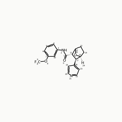 O=C(Nc1cccc(OC(F)(F)F)c1)[C@@H]1C2CC[C@H](O2)[C@H]1c1ccncc1